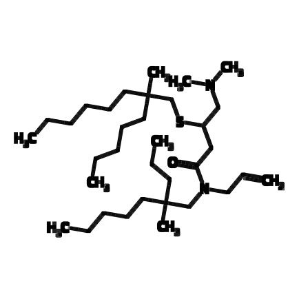 C=CCN(CC(C)(CCC)CCCCC)C(=O)CC(CN(C)C)SCC(C)(CCCCC)CCCCCC